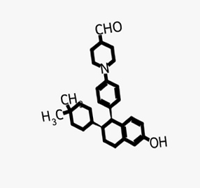 CC1(C)CCC([C@@H]2CCc3cc(O)ccc3[C@@H]2c2ccc(N3CCC(C=O)CC3)cc2)CC1